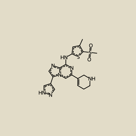 Cc1cc(Nc2nc(C3=CCCNC3)cn3c(-c4cn[nH]c4)cnc23)sc1S(C)(=O)=O